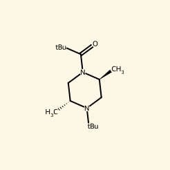 C[C@@H]1CN(C(=O)C(C)(C)C)[C@@H](C)CN1C(C)(C)C